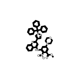 COC(=O)c1cc(N2CCOCC2)cc(Nc2cc(-c3cnn(C(c4ccccc4)(c4ccccc4)c4ccccc4)c3)nc3ccccc23)c1[N+](=O)[O-]